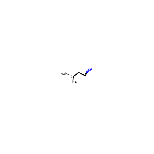 CN[C@@H](C)CC=N